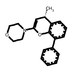 C[C@H]1C=C(N2CCOCC2)Oc2c(-c3ccccc3)cccc21